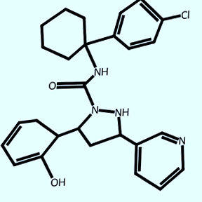 O=C(NC1(c2ccc(Cl)cc2)CCCCC1)N1NC(c2cccnc2)CC1C1CC=CC=C1O